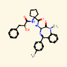 CN1C(=O)C(NC(=O)C2(NC(=O)[C@@H](O)Cc3ccccc3)CCCC2)N=C(c2ccc(C(F)(F)F)cc2)c2ccccc21